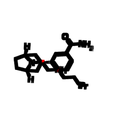 CC(C)CCNCCN1[C@@H]2CC[C@H]1C[C@@H](c1cccc(C(N)=O)c1)C2